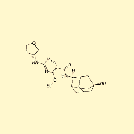 CCOc1nc(N[C@@H]2CCOC2)ncc1C(=O)N[C@H]1C2CC3CC1C[C@@](O)(C3)C2